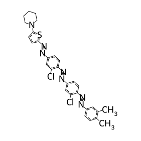 Cc1ccc(N=Nc2ccc(N=Nc3ccc(N=Nc4ccc(N5CCCCC5)s4)cc3Cl)cc2Cl)cc1C